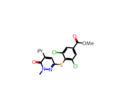 COC(=O)c1cc(Cl)c(Sc2cc(C(C)C)c(=O)n(C)n2)c(Cl)c1